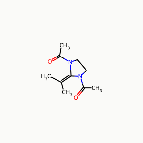 CC(=O)N1CCN(C(C)=O)C1=C(C)C